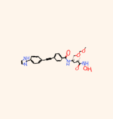 COCOC[C@H](C[C@H](C)C(=O)NO)NC(=O)c1ccc(C#Cc2ccc(-c3ncc[nH]3)cc2)cc1